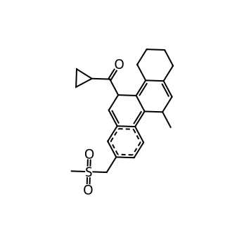 CC1C=C2CCCCC2=C2C1=c1ccc(CS(C)(=O)=O)cc1=CC2C(=O)C1CC1